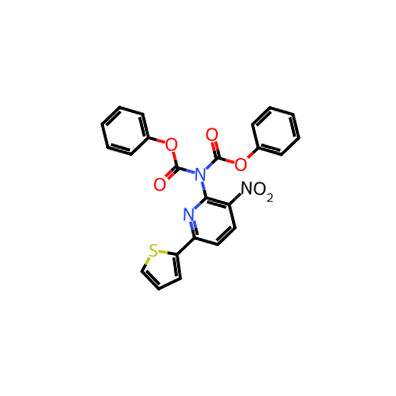 O=C(Oc1ccccc1)N(C(=O)Oc1ccccc1)c1nc(-c2cccs2)ccc1[N+](=O)[O-]